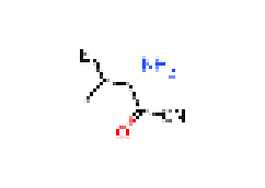 CC[C@H](C)[C@H](N)C(=O)C#N